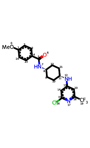 COc1ccc(C(=O)N[C@H]2CC[C@@H](Nc3cc(Cl)nc(C(F)(F)F)c3)CC2)cc1